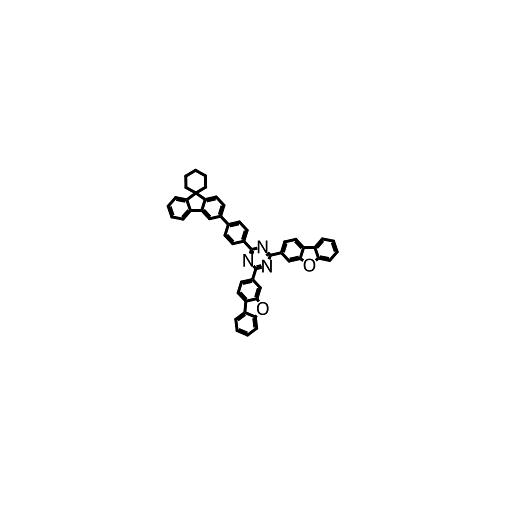 c1ccc2c(c1)-c1cc(-c3ccc(-c4nc(-c5ccc6c(c5)oc5ccccc56)nc(-c5ccc6c(c5)oc5ccccc56)n4)cc3)ccc1C21CCCCC1